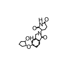 O=C1CCC(N2Cc3cc(OC4CCCC4O)ccc3C2=O)C(=O)N1